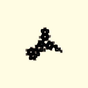 COc1ccc(-n2nc(CC(C(=O)O)c3cccc4c3OCO4)cc2-c2ccc3c(c2)OCO3)cc1